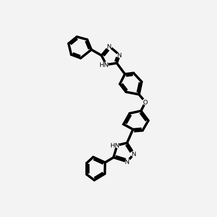 c1ccc(-c2nnc(-c3ccc(Oc4ccc(-c5nnc(-c6ccccc6)[nH]5)cc4)cc3)[nH]2)cc1